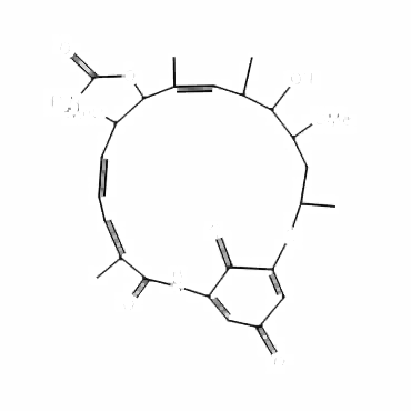 COC1C=CC=C(C)C(=O)NC2=CC(=O)C=C(CC(C)CC(OC)C(O)C(C)C=C(C)C1OC(N)=O)C2=O